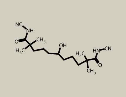 CC(C)(CCCC(O)CCCC(C)(C)C(=O)NC#N)C(=O)NC#N